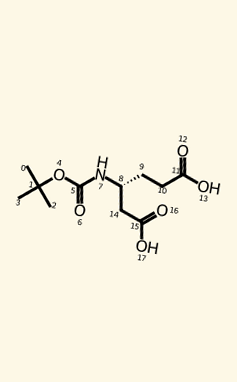 CC(C)(C)OC(=O)N[C@H](CCC(=O)O)CC(=O)O